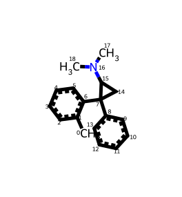 Cc1ccccc1C1(c2ccccc2)CC1N(C)C